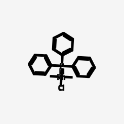 [CH3][Rh]([CH3])([Cl])[PH](c1ccccc1)(c1ccccc1)c1ccccc1